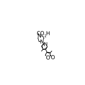 CC1=C(c2cnc(N3CCN(C(=O)O)CC3)cc2C)COC1=O